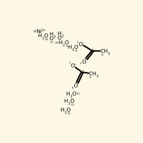 CC(=O)[O-].CC(=O)[O-].O.O.O.O.O.O.O.O.[Ni+2]